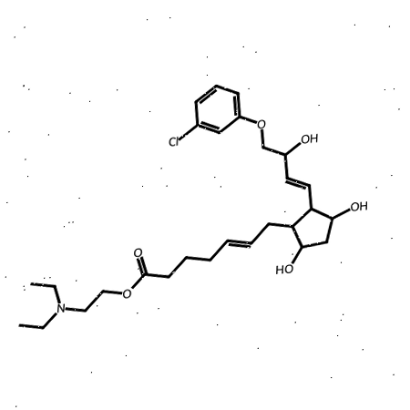 CCN(CC)CCOC(=O)CCCC=CCC1C(O)CC(O)C1C=CC(O)COc1cccc(Cl)c1